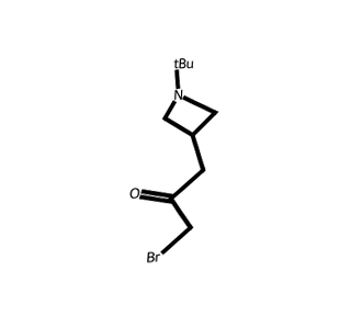 CC(C)(C)N1CC(CC(=O)CBr)C1